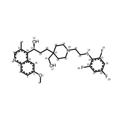 COc1ccc2ncc(C)c([C@@H](O)CCC3(CO)CCN(CCSc4c(F)cc(F)cc4F)CC3)c2c1